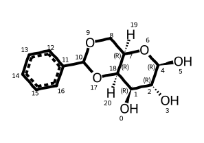 O[C@@H]1[C@@H](O)[C@H](O)O[C@@H]2COC(c3ccccc3)O[C@H]12